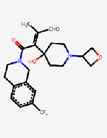 C/C(C=O)=C(\C(=O)N1CCc2ccc(C(F)(F)F)cc2C1)C1(O)CCN(C2COC2)CC1